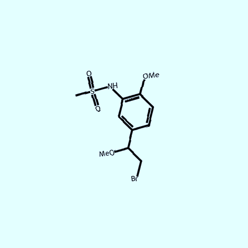 COc1ccc(C(CBr)OC)cc1NS(C)(=O)=O